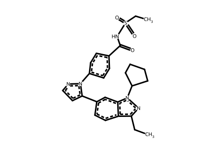 CCc1nn(C2CCCC2)c2cc(-c3ccnn3-c3ccc(C(=O)NS(=O)(=O)CC)cc3)ccc12